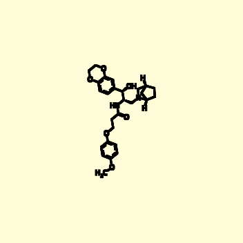 COc1ccc(OCCC(=O)N[C@H](CN2C[C@@H]3CC[C@H]2C3)[C@H](O)c2ccc3c(c2)OCCO3)cc1